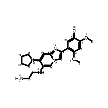 COc1cc(OC)c(-c2cn3cc(NCCN)c(N4CCCC4)cc3n2)cc1Cl